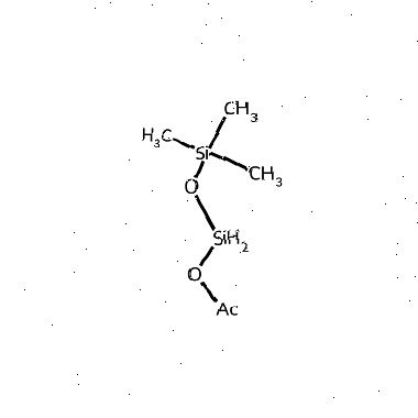 CC(=O)O[SiH2]O[Si](C)(C)C